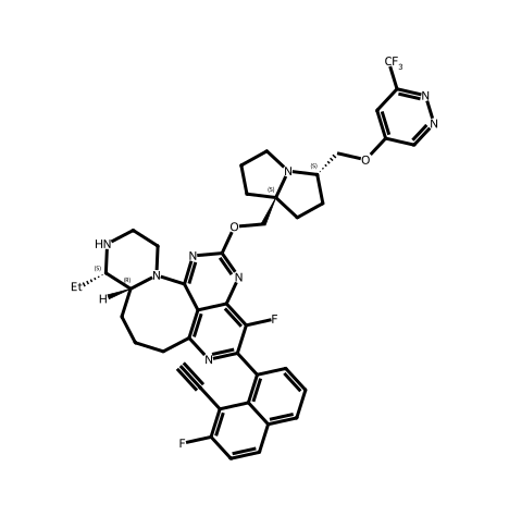 C#Cc1c(F)ccc2cccc(-c3nc4c5c(nc(OC[C@@]67CCCN6[C@H](COc6cnnc(C(F)(F)F)c6)CC7)nc5c3F)N3CCN[C@@H](CC)[C@H]3CCC4)c12